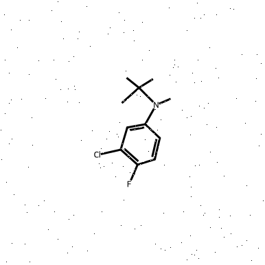 CN(c1ccc(F)c(Cl)c1)C(C)(C)C